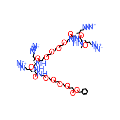 CC(=O)N[C@@H](CCCCN=[N+]=[N-])C(=O)N[C@@H](CCCCN=[N+]=[N-])C(=O)NCCOCCOCCOCCOCCC(=O)N[C@@H](CCCCN=[N+]=[N-])C(=O)N[C@@H](CCCCN=[N+]=[N-])C(=O)NCCOCCOCCOCCOCCC(=O)OCc1ccccc1